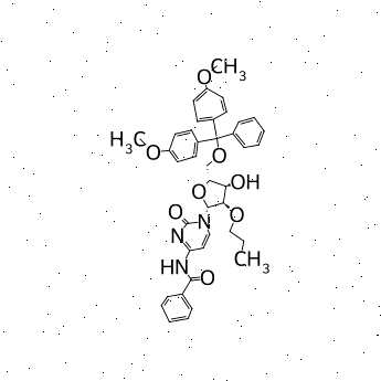 CCCO[C@@H]1[C@H](O)[C@@H](COC(c2ccccc2)(c2ccc(OC)cc2)c2ccc(OC)cc2)O[C@H]1n1ccc(NC(=O)c2ccccc2)nc1=O